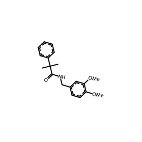 COc1ccc(CNC(=O)C(C)(C)c2ccccc2)cc1OC